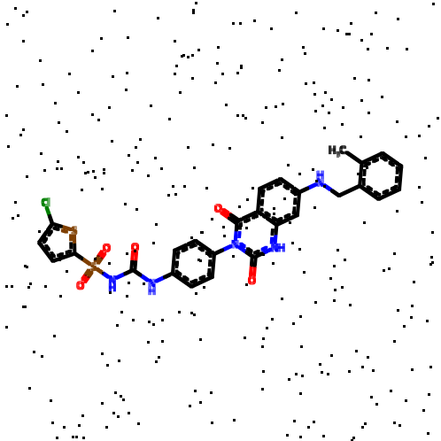 Cc1ccccc1CNc1ccc2c(=O)n(-c3ccc(NC(=O)NS(=O)(=O)c4ccc(Cl)s4)cc3)c(=O)[nH]c2c1